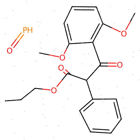 CCCOC(=O)C(C(=O)c1c(OC)cccc1OC)c1ccccc1.O=P